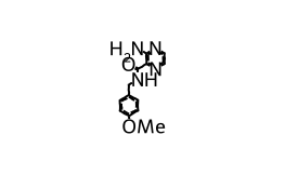 COc1ccc(CNC(=O)c2nccnc2N)cc1